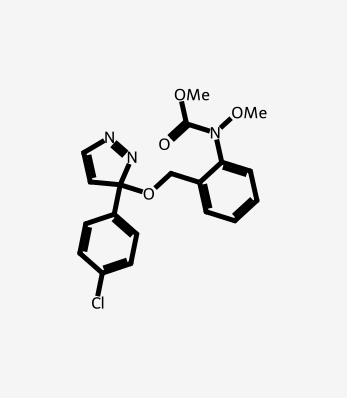 COC(=O)N(OC)c1ccccc1COC1(c2ccc(Cl)cc2)C=CN=N1